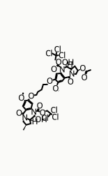 COc1cc2c(cc1OCCCCCOc1cc3c(cc1OC)C(=O)N1C[C@H](OC(C)=O)C[C@H]1[C@H](O)N3C(=O)OCC(Cl)(Cl)Cl)N(C(=O)OCC(Cl)(Cl)Cl)[C@@H](O)[C@@H]1C[C@@H](C)CN1C2=O